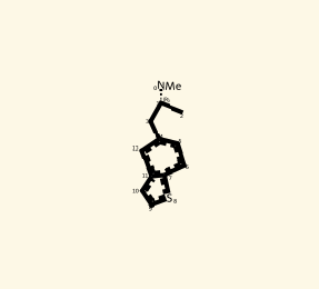 CN[C@H](C)Cc1ccc2sccc2c1